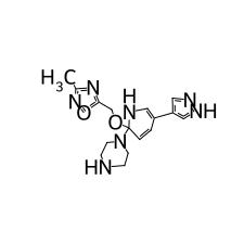 Cc1noc(COC2(N3CCNCC3)C=CC(c3cn[nH]c3)=CN2)n1